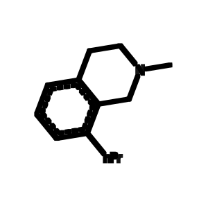 CCCc1cccc2c1CN(C)CC2